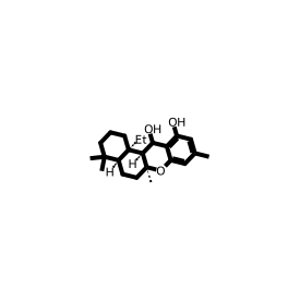 CC[C@@]12CCCC(C)(C)[C@@H]1CC[C@]1(C)Oc3cc(C)cc(O)c3C(O)[C@H]21